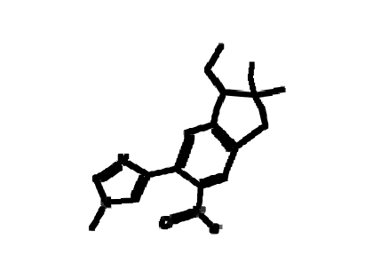 CCC1c2cc(-c3cn(C)cn3)c([N+](=O)[O-])cc2CC1(C)C